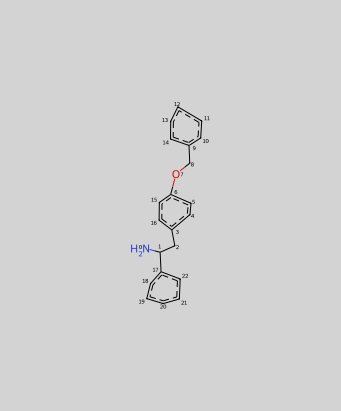 NC(Cc1ccc(OCc2ccccc2)cc1)c1ccccc1